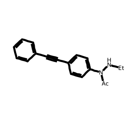 CCNN(C(C)=O)c1ccc(C#Cc2ccccc2)cc1